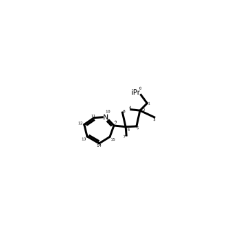 CC(C)CC(C)(C)CC(C)(C)C1=NC=CC=CC1